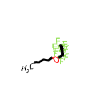 CCCCCCOC(F)(F)C(F)C(F)(F)C(F)(F)F